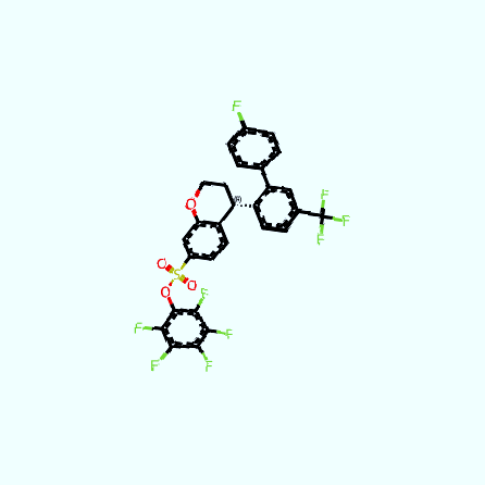 O=S(=O)(Oc1c(F)c(F)c(F)c(F)c1F)c1ccc2c(c1)OCC[C@@H]2c1ccc(C(F)(F)F)cc1-c1ccc(F)cc1